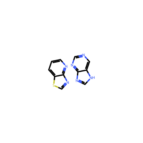 c1cnc2ncsc2c1.c1ncc2[nH]cnc2n1